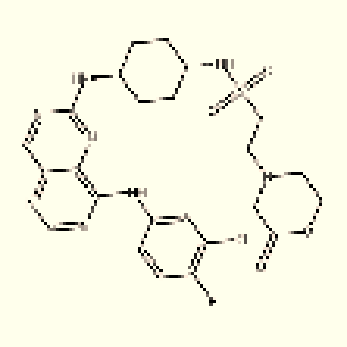 O=C1CN(CCS(=O)(=O)N[C@H]2CC[C@H](Nc3ncc4ncnc(Nc5ccc(F)c(Cl)c5)c4n3)CC2)CCO1